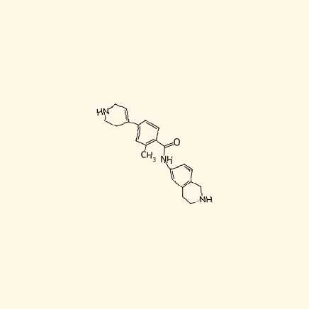 Cc1cc(C2=CCNCC2)ccc1C(=O)Nc1ccc2c(c1)CCNC2